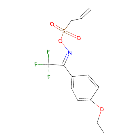 C=CCS(=O)(=O)O/N=C(/c1ccc(OCC)cc1)C(F)(F)F